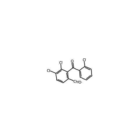 O=[C]c1ccc(Cl)c(Cl)c1C(=O)c1ccccc1Cl